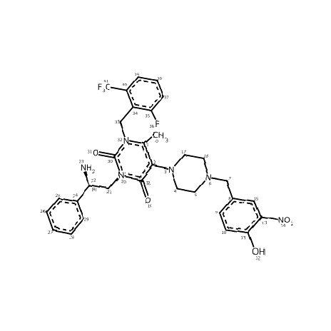 Cc1c(N2CCN(Cc3ccc(O)c([N+](=O)[O-])c3)CC2)c(=O)n(C[C@H](N)c2ccccc2)c(=O)n1Cc1c(F)cccc1C(F)(F)F